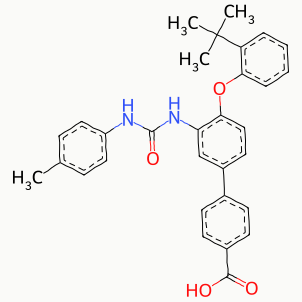 Cc1ccc(NC(=O)Nc2cc(-c3ccc(C(=O)O)cc3)ccc2Oc2ccccc2C(C)(C)C)cc1